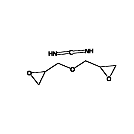 C(OCC1CO1)C1CO1.N=C=N